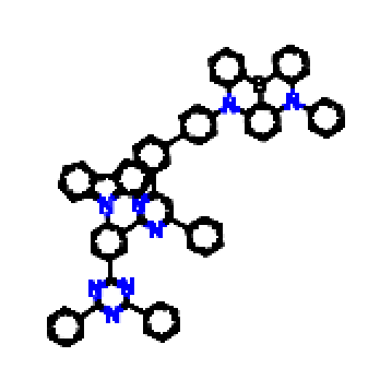 c1ccc(-c2cc(-c3cccc(-c4ccc(N5c6ccccc6B6c7ccccc7N(c7ccccc7)c7cccc5c76)cc4)c3)nc(-c3cc(-c4nc(-c5ccccc5)nc(-c5ccccc5)n4)ccc3-n3c4ccccc4c4ccccc43)n2)cc1